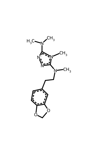 CN(C)c1nnc(N(C)CCc2ccc3c(c2)OCO3)n1C